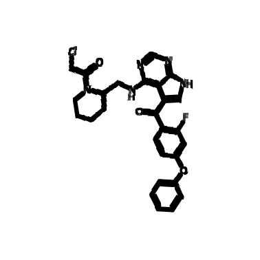 O=C(c1ccc(Oc2ccccc2)cc1F)c1c[nH]c2ncnc(NCC3CCCCN3C(=O)CCl)c12